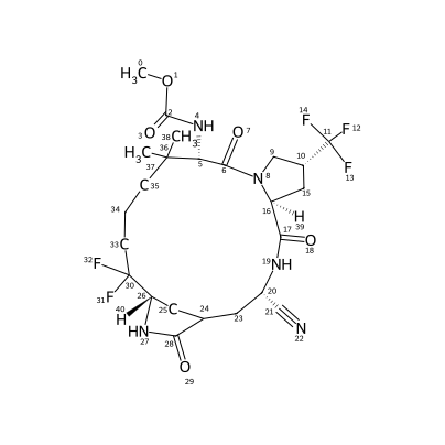 COC(=O)N[C@@H]1C(=O)N2C[C@H](C(F)(F)F)C[C@H]2C(=O)N[C@H](C#N)CC2C[C@H](NC2=O)C(F)(F)CCCC1(C)C